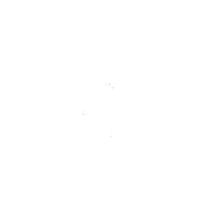 CCCCC(CCCC)C(N)OC(C)=O